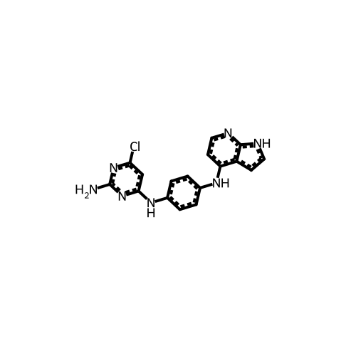 Nc1nc(Cl)cc(Nc2ccc(Nc3ccnc4[nH]ccc34)cc2)n1